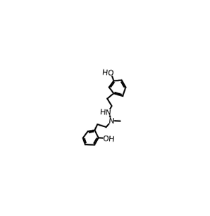 CN(CCc1ccccc1O)NCCc1cccc(O)c1